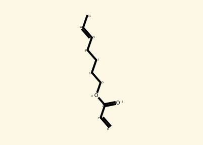 C=CC(=O)OCCCCC=CC